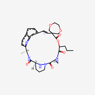 CCCC1OC(=O)C2(/C=C/c3ccc4ccc(nc4c3)[C@@H](C)NC(=O)[C@@H]3CCCN(N3)C(=O)[C@H](C)NC1=O)COCCOC2